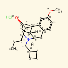 CCC[C@H]1CC(=O)C[C@]23CCN(CC4CCC4)[C@H](Cc4ccc(OC)cc42)[C@H]13.Cl